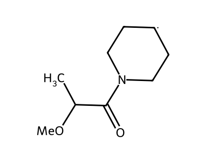 COC(C)C(=O)N1CC[CH]CC1